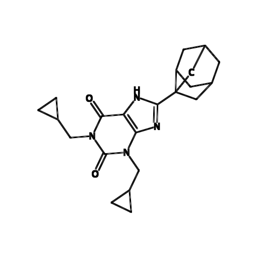 O=c1c2[nH]c(C34CC5CC(CC3C5)C4)nc2n(CC2CC2)c(=O)n1CC1CC1